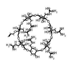 C=CCOC1C2OC(CNC(=N)N)C(OC3OC(CNC(=N)N)C(OC4OC(CNC(=N)N)C(OC5OC(CNC(=N)N)C(OC6OC(CNC(=N)N)C(OC7OC(CNC(=N)N)C(CC7O)OC7OC(CNC(=N)N)C(O2)C(O)C7O)C(O)C6O)C(O)C5O)C(O)C4O)C(O)C3O)C1O